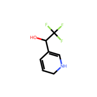 OC(C1=CNC[C]=C1)C(F)(F)F